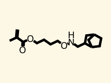 C=C(C)C(=O)OCCCCONCC1CC2CCC1C2